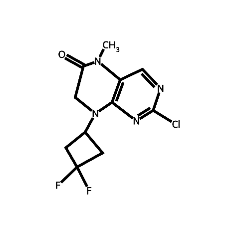 CN1C(=O)CN(C2CC(F)(F)C2)c2nc(Cl)ncc21